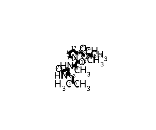 CC(C)C[C@H]1NC(=O)[C@@H]1N[C@@H](C)C(=O)N1CCC[C@H]1C(=O)OC(C)(C)C